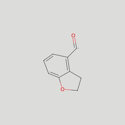 O=[C]c1cccc2c1CCO2